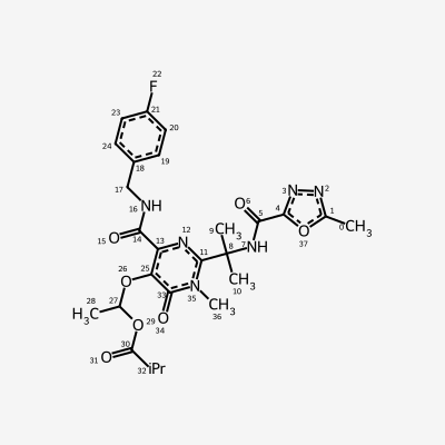 Cc1nnc(C(=O)NC(C)(C)c2nc(C(=O)NCc3ccc(F)cc3)c(OC(C)OC(=O)C(C)C)c(=O)n2C)o1